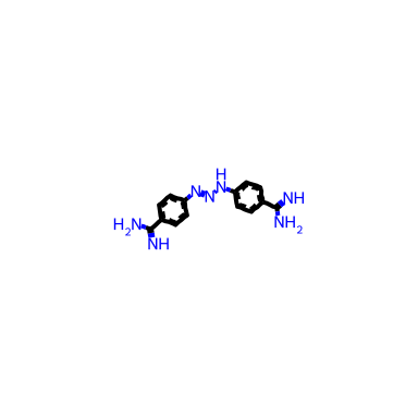 N=C(N)c1ccc(/N=N/Nc2ccc(C(=N)N)cc2)cc1